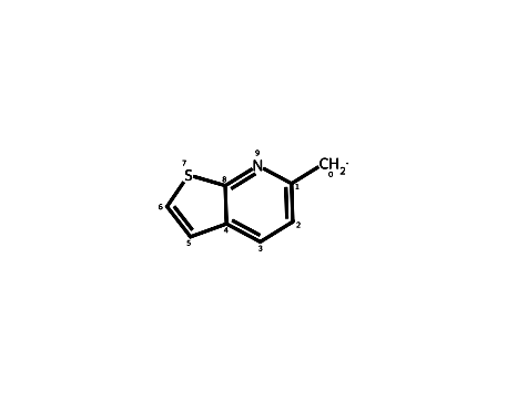 [CH2]c1ccc2ccsc2n1